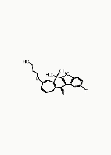 CC1(C)C2=C(CC=CC(OCCCO)=C2)C(=O)c2c1oc1ccc(F)cc21